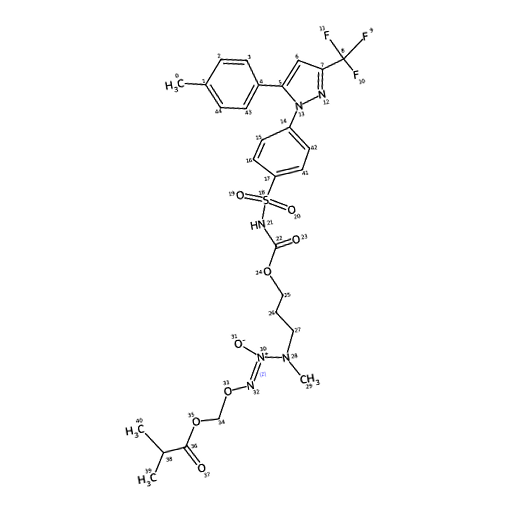 Cc1ccc(-c2cc(C(F)(F)F)nn2-c2ccc(S(=O)(=O)NC(=O)OCCCN(C)/[N+]([O-])=N/OCOC(=O)C(C)C)cc2)cc1